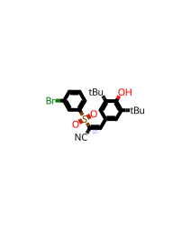 CC(C)(C)c1cc(/C=C(/C#N)S(=O)(=O)c2cccc(Br)c2)cc(C(C)(C)C)c1O